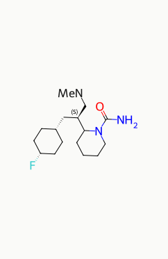 CNC[C@H](C[C@H]1CC[C@@H](F)CC1)C1CCCCN1C(N)=O